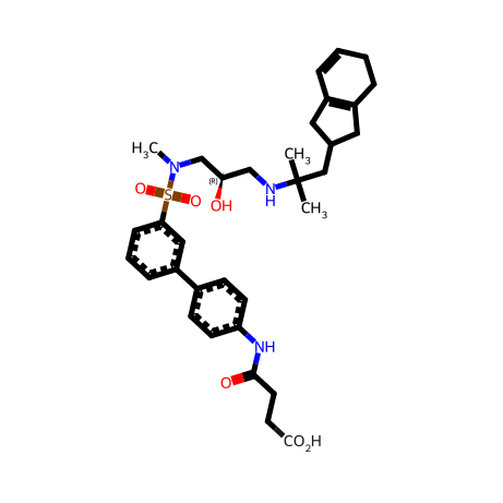 CN(C[C@H](O)CNC(C)(C)CC1CC2=C(CCC=C2)C1)S(=O)(=O)c1cccc(-c2ccc(NC(=O)CCC(=O)O)cc2)c1